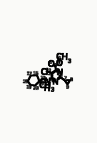 COC(=O)c1nc(C2CC2)nc(NCC2(C)CCCCC2)c1Cl